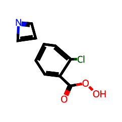 C1=CN=C1.O=C(OO)c1ccccc1Cl